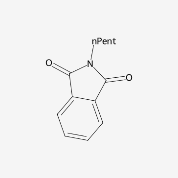 [CH2]CCCCN1C(=O)c2ccccc2C1=O